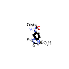 COC(=O)Nc1ccc2c(c1)N(C(C)=O)[C@@H](C)CN2C(=O)O